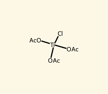 CC(=O)[O][Ti]([Cl])([O]C(C)=O)[O]C(C)=O